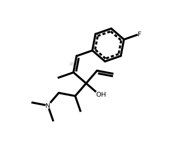 C=CC(O)(/C(C)=C\c1ccc(F)cc1)C(C)CN(C)C